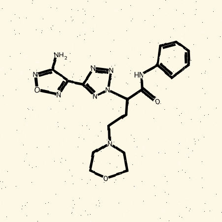 Nc1nonc1-c1nnn(C(CCN2CCOCC2)C(=O)Nc2ccccc2)n1